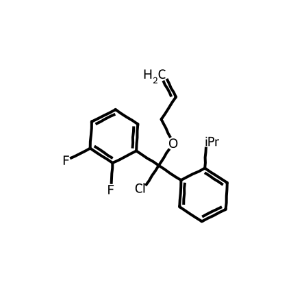 C=CCOC(Cl)(c1ccccc1C(C)C)c1cccc(F)c1F